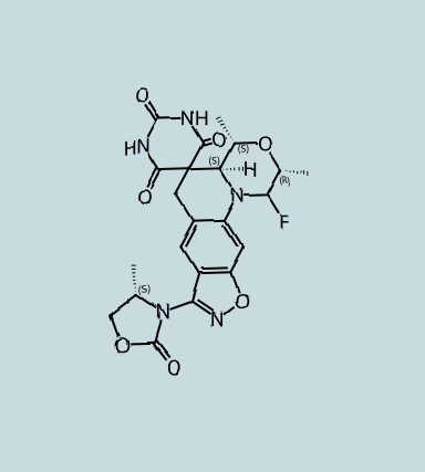 C[C@@H]1O[C@H](C)C(F)N2c3cc4onc(N5C(=O)OC[C@@H]5C)c4cc3CC3(C(=O)NC(=O)NC3=O)[C@@H]12